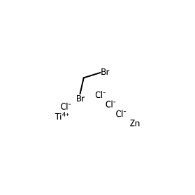 BrCBr.[Cl-].[Cl-].[Cl-].[Cl-].[Ti+4].[Zn]